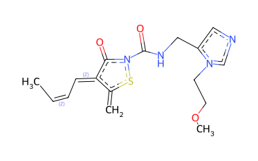 C=c1sn(C(=O)NCc2cncn2CCOC)c(=O)/c1=C/C=C\C